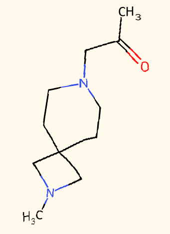 CC(=O)CN1CCC2(CC1)CN(C)C2